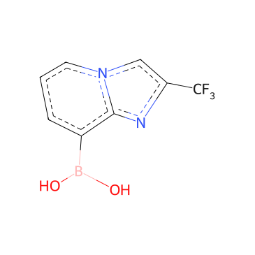 OB(O)c1cccn2cc(C(F)(F)F)nc12